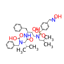 CC(C)CN(C[C@@H](O)[C@H](Cc1ccccc1)NC(=O)[C@H](C(C)C)N(Cc1ccccc1)C(=O)O)S(=O)(=O)c1ccc(C=NO)cc1